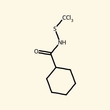 O=C(NSC(Cl)(Cl)Cl)C1CCCCC1